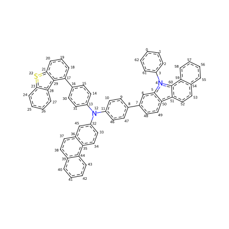 c1ccc(-n2c3cc(-c4ccc(N(c5ccc(-c6cccc7sc8ccccc8c67)cc5)c5ccc6c(ccc7ccccc76)c5)cc4)ccc3c3ccc4ccccc4c32)cc1